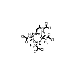 CC(C[SiH]1O[Si](C)([SiH2]C(Cl)Cl)O[Si](C)([SiH2]C(Cl)Cl)O[Si](C)([SiH2]C(Cl)Cl)O1)[SiH2]C(Cl)Cl